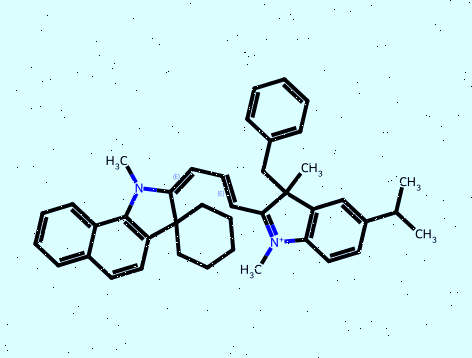 CC(C)c1ccc2c(c1)C(C)(Cc1ccccc1)C(/C=C/C=C1/N(C)c3c(ccc4ccccc34)C13CCCCC3)=[N+]2C